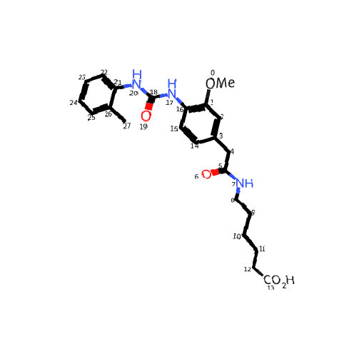 COc1cc(CC(=O)NCCCCCC(=O)O)ccc1NC(=O)Nc1ccccc1C